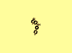 CN1CCN(c2ccc(Nc3ncc4c(n3)SCC=[N+]4[O-])cc2)CC1